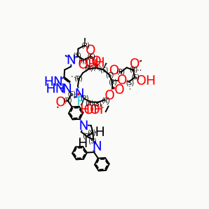 CC[C@H]1OC(=O)[C@H](C)[C@@H](O[C@H]2C[C@@](C)(OC)[C@@H](O)[C@H](C)O2)[C@H](C)[C@@H](O[C@@H]2O[C@H](C)C[C@H](N(C)CCC3=CN([C@H](CF)[C@H](OC)c4ccc(N5C[C@@H]6[C@H](C5)[C@H]6N=C(c5ccccc5)c5ccccc5)cc4)NN3)[C@H]2O)[C@](C)(O)C[C@@H](C)CN(C)[C@H](C)[C@@H](O)[C@]1(C)O